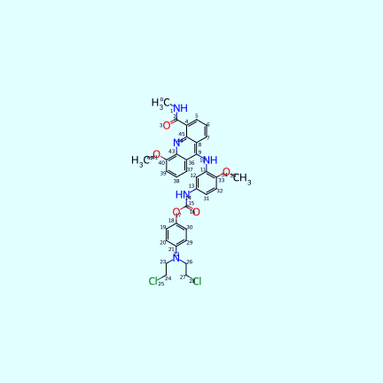 CNC(=O)c1cccc2c(Nc3cc(NC(=O)Oc4ccc(N(CCCl)CCCl)cc4)ccc3OC)c3cccc(OC)c3nc12